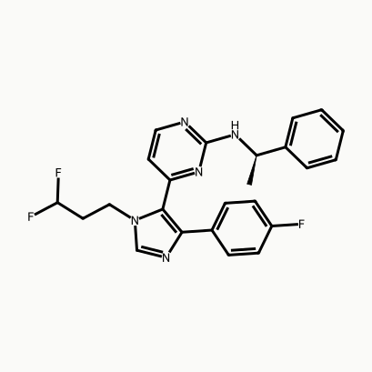 C[C@@H](Nc1nccc(-c2c(-c3ccc(F)cc3)ncn2CCC(F)F)n1)c1ccccc1